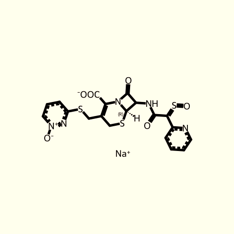 O=S=C(C(=O)NC1C(=O)N2C(C(=O)[O-])=C(CSc3ccc[n+]([O-])n3)CS[C@H]12)c1ccccn1.[Na+]